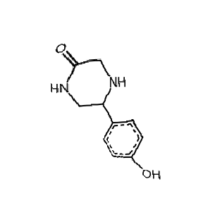 O=C1CNC(c2ccc(O)cc2)CN1